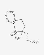 CC1(CCC(=O)O)CCc2ccccc2C1=O